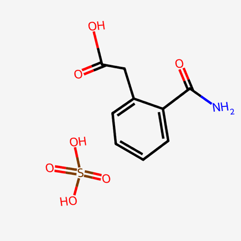 NC(=O)c1ccccc1CC(=O)O.O=S(=O)(O)O